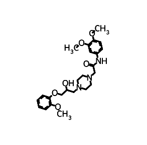 COc1ccc(NC(=O)CN2CCN(CC(O)COc3ccccc3OC)CC2)cc1OC